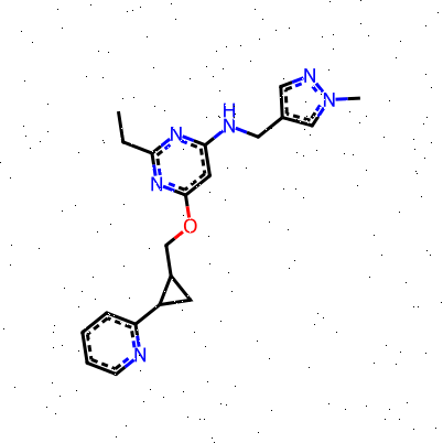 CCc1nc(NCc2cnn(C)c2)cc(OCC2CC2c2ccccn2)n1